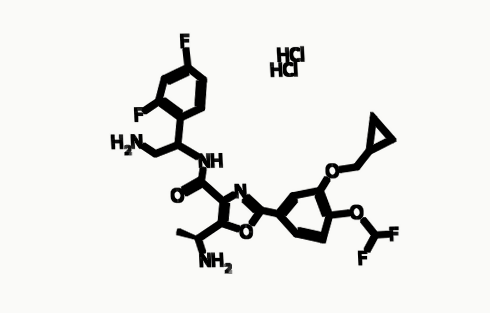 C[C@H](N)c1oc(-c2ccc(OC(F)F)c(OCC3CC3)c2)nc1C(=O)NC(CN)c1ccc(F)cc1F.Cl.Cl